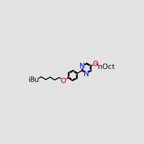 CCCCCCCCOc1cnc(-c2ccc(OCCCCCC(C)CC)cc2)nc1